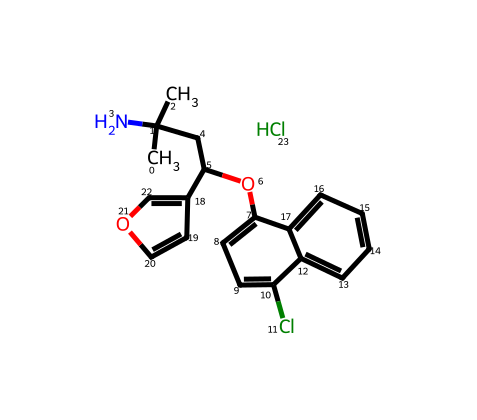 CC(C)(N)CC(Oc1ccc(Cl)c2ccccc12)c1ccoc1.Cl